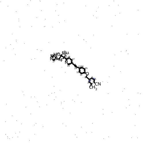 C=C/C=C(\C=C/CC#N)COc1ccc(C#Cc2ccc(C(F)(F)C(O)(Cn3cnnn3)C(C)(C)C)nc2)cc1